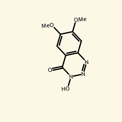 COc1cc2nnn(O)c(=O)c2cc1OC